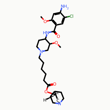 COc1cc(N)c(Cl)cc1C(=O)NC1CCN(CCCCCC(=O)O[C@H]2CN3CCC2CC3)CC1OC